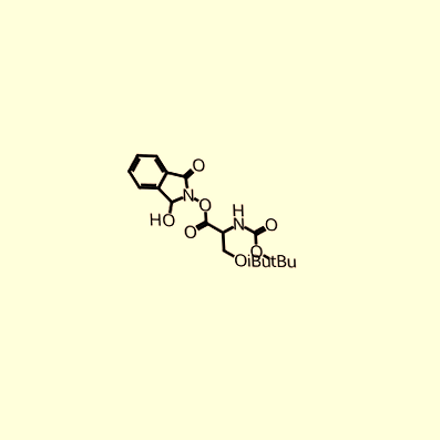 CC(C)COCC(NC(=O)OC(C)(C)C)C(=O)ON1C(=O)c2ccccc2C1O